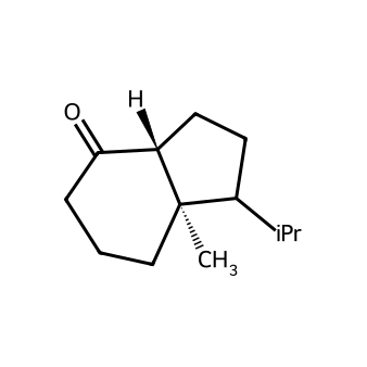 CC(C)C1CC[C@H]2C(=O)CCC[C@]12C